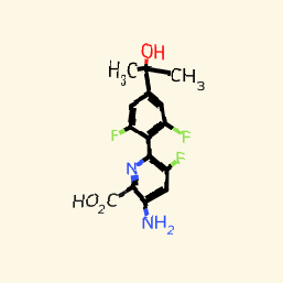 CC(C)(O)c1cc(F)c(-c2nc(C(=O)O)c(N)cc2F)c(F)c1